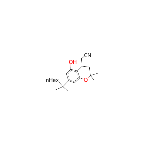 CCCCCCC(C)(C)c1cc(O)c2c(c1)OC(C)(C)CC2CC#N